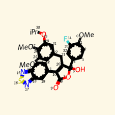 COc1ccc(C2(O)OC(=O)C(c3ccc4nsnc4c3)=C2Cc2cc(OC)c(OC)c(OC(C)C)c2)cc1F